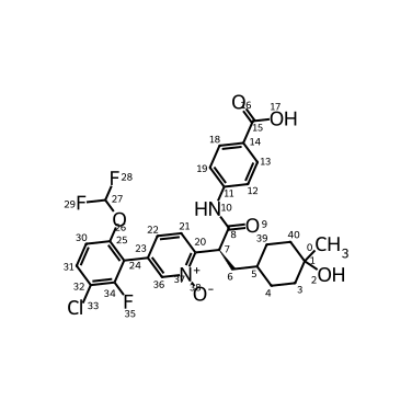 CC1(O)CCC(C[C@H](C(=O)Nc2ccc(C(=O)O)cc2)c2ccc(-c3c(OC(F)F)ccc(Cl)c3F)c[n+]2[O-])CC1